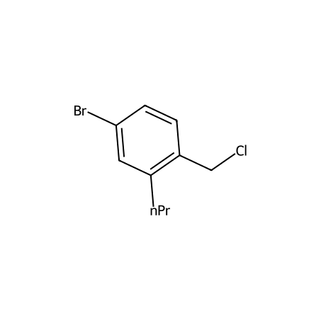 CCCc1cc(Br)ccc1CCl